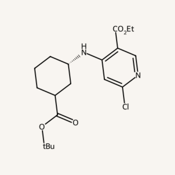 CCOC(=O)c1cnc(Cl)cc1N[C@H]1CCCC(C(=O)OC(C)(C)C)C1